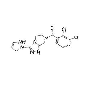 O=C(c1cccc(Cl)c1Cl)N1CCn2c(nnc2N2CC=CN2)C1